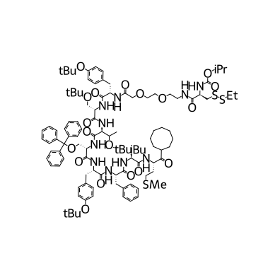 CCSSC[C@H](NC(=O)OC(C)C)C(=O)NCCOCCOCC(=O)N[C@@H](Cc1ccc(OC(C)(C)C)cc1)C(=O)N[C@@H](COC(C)(C)C)C(=O)N[C@H](C(=O)N[C@@H](COC(c1ccccc1)(c1ccccc1)c1ccccc1)C(=O)N[C@@H](Cc1ccc(OC(C)(C)C)cc1)C(=O)N[C@@H](Cc1ccccc1)C(=O)N[C@H](C(=O)N[C@@H](CCSC)C(=O)C1CCCCCCC1)C(C)CC)C(C)OC(C)(C)C